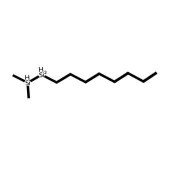 CCCCCCCC[SiH2][SiH](C)C